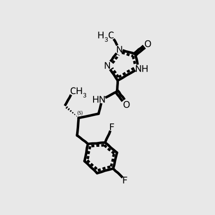 CC[C@H](CNC(=O)c1nn(C)c(=O)[nH]1)Cc1ccc(F)cc1F